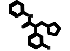 O=C(Nc1ccccn1)C(SC1CCCC1)c1cccc(Cl)c1